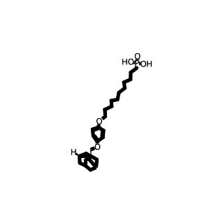 O=P(O)(O)CCCCCCCCCCCOc1ccc(OC[C@]23CC4CC(C[C@H](C4)C2)C3)cc1